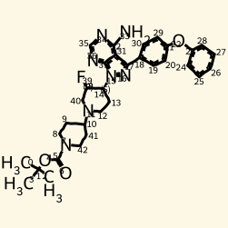 CC(C)(C)OC(=O)N1CCC(N2CC[C@H](n3nc(-c4ccc(Oc5ccccc5)cc4)c4c(N)ncnc43)[C@H](F)C2)CC1